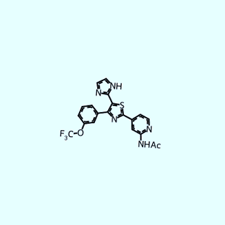 CC(=O)Nc1cc(-c2nc(-c3cccc(OC(F)(F)F)c3)c(-c3ncc[nH]3)s2)ccn1